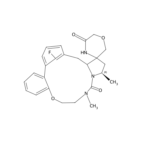 C[C@@H]1CC2(COCC(=O)N2)C2Cc3cccc(c3F)-c3ccccc3OCCN(C)C(=O)N21